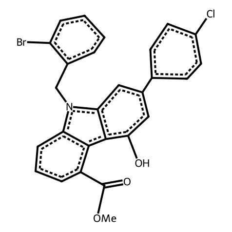 COC(=O)c1cccc2c1c1c(O)cc(-c3ccc(Cl)cc3)cc1n2Cc1ccccc1Br